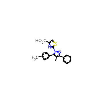 Cc1c(-c2ccccc2)nn(-c2nc(C(=O)O)cs2)c1-c1ccc(C(F)(F)F)cc1